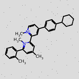 Cc1cc(-c2ccccc2C)[n+](C)c(-c2cc(-c3ccc(C4CCCCC4)cc3)cc[n+]2C)c1